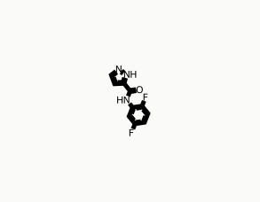 O=C(Nc1cc(F)ccc1F)c1ccn[nH]1